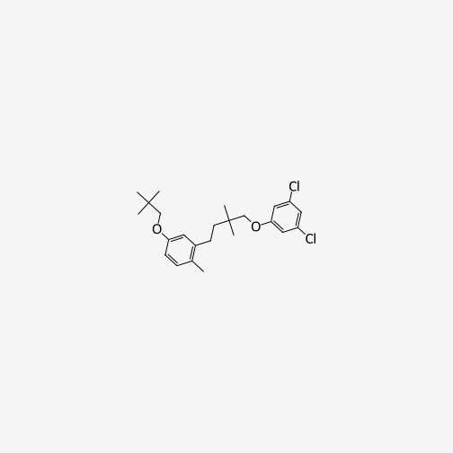 Cc1ccc(OCC(C)(C)C)cc1CCC(C)(C)COc1cc(Cl)cc(Cl)c1